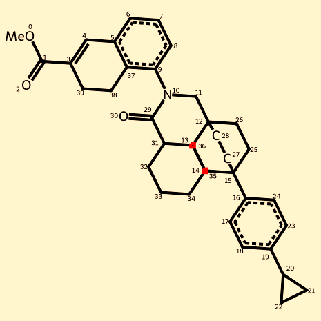 COC(=O)C1=Cc2cccc(N(CC34CCC(c5ccc(C6CC6)cc5)(CC3)CC4)C(=O)C3CCCCC3)c2CC1